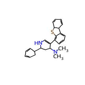 CN(C)C1CC(C2C=CC=CC2)NC=C1c1cccc2c1SC1C=CC=CC21